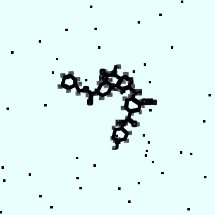 COc1cc(C(=O)NC2CCN(C)CC2)ccc1Nc1ncc2c(n1)N1CCN(C(=O)OCc3ccccc3)C[C@@H]1C(=O)N2C